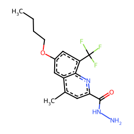 CCCCOc1cc(C(F)(F)F)c2nc(C(=O)NN)cc(C)c2c1